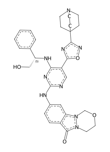 O=c1c2ccc(Nc3ncc(-c4nc(C56CCN(CC5)CC6)no4)c(N[C@H](CO)c4ccccc4)n3)cc2n2n1CCOC2